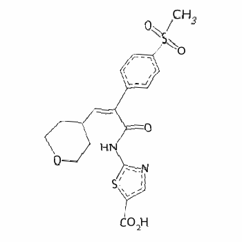 CS(=O)(=O)c1ccc(C(=CC2CCOCC2)C(=O)Nc2ncc(C(=O)O)s2)cc1